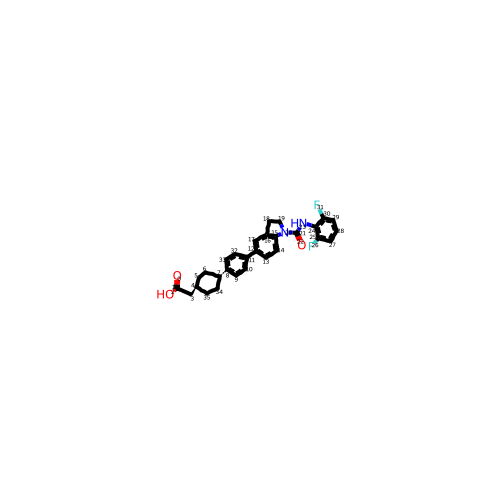 O=C(O)C[C@H]1CC[C@H](c2ccc(-c3ccc4c(c3)CCN4C(=O)Nc3c(F)cccc3F)cc2)CC1